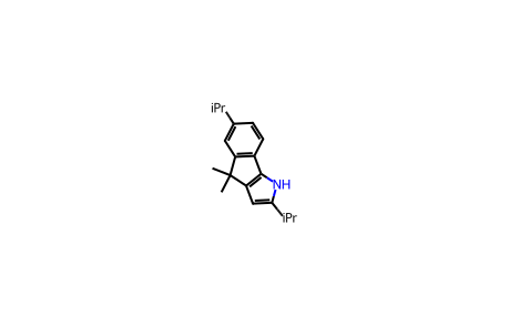 CC(C)c1ccc2c(c1)C(C)(C)c1cc(C(C)C)[nH]c1-2